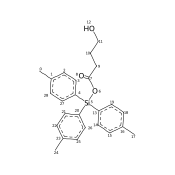 Cc1ccc([Si](OC(=O)CCCO)(c2ccc(C)cc2)c2ccc(C)cc2)cc1